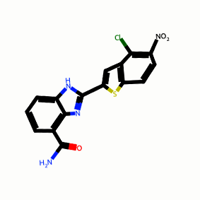 NC(=O)c1cccc2[nH]c(-c3cc4c(Cl)c([N+](=O)[O-])ccc4s3)nc12